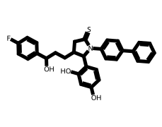 Oc1ccc(C2C(CCC(O)c3ccc(F)cc3)CC(=S)N2c2ccc(-c3ccccc3)cc2)c(O)c1